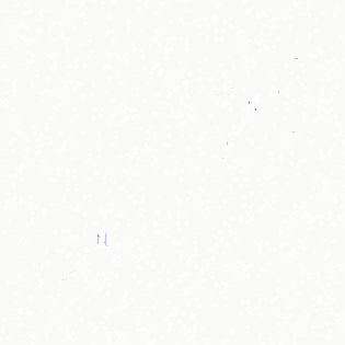 CC1(C)c2ccc(-c3ccc(-c4ccc5c6c4C(C)(C)c4cccc7c8cccc(c8n-6c47)C5(C)C)cc3)c3c2-n2c4c1cccc4c1cccc(c12)C3(C)C